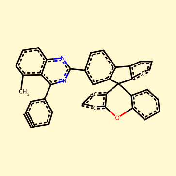 Cc1cccc2nc(-c3ccc4c(c3)C3(c5ccccc5Oc5ccccc53)c3ccccc3-4)nc(-c3cc#ccc3)c12